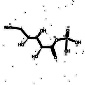 CSC[C@@H](O)[C@@H](O)[C@@H](O)C(=O)OP(=O)(O)O